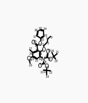 CCCCOc1c(N(C(=O)OC(C)(C)C)C(=O)OC(C)(C)C)cc(OC)c(C)c1C(=O)Oc1ccccc1